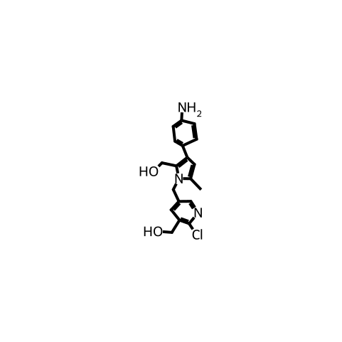 Cc1cc(-c2ccc(N)cc2)c(CO)n1Cc1cnc(Cl)c(CO)c1